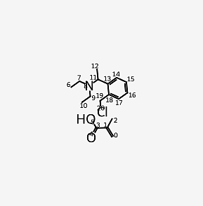 C=C(C)C(=O)O.CCN(CC)C(C)c1ccccc1CCl